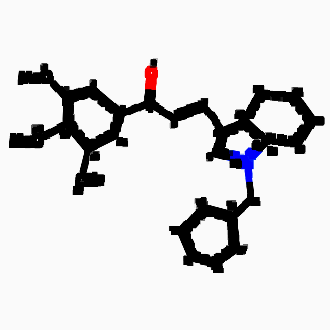 COc1cc(C(=O)C=Cc2cn(Cc3ccccc3)c3ccccc23)cc(OC)c1OC